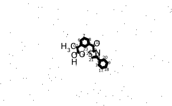 CC(C(=O)O)c1cccc(C(=O)c2nc(-c3ccccc3)cs2)c1